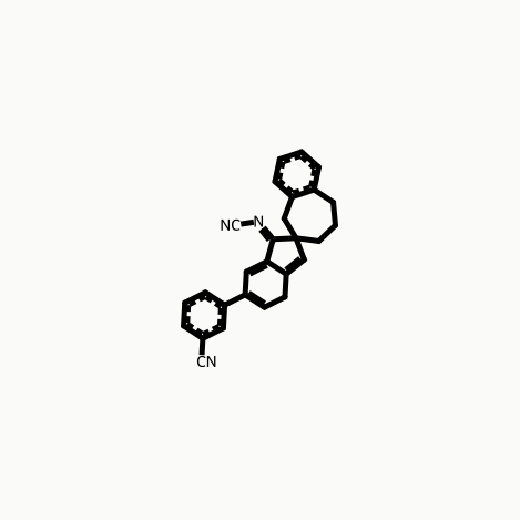 N#CN=C1C2=CC(c3cccc(C#N)c3)=CCC2=CC12CCCc1ccccc1C2